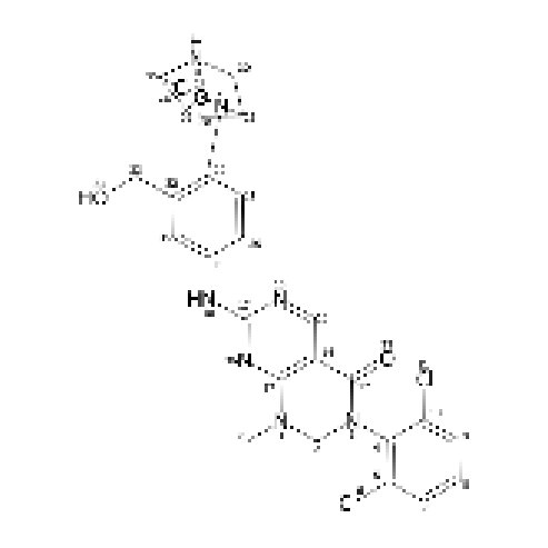 CN1CN(c2c(Cl)cccc2Cl)C(=O)c2cnc(Nc3ccc(N4CC5COCC4CN5)c(CO)c3)nc21